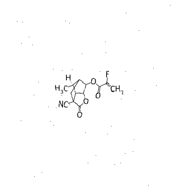 C=C(F)C(=O)OC1C2OC(=O)C3(C#N)CC1[C@H](C)C23